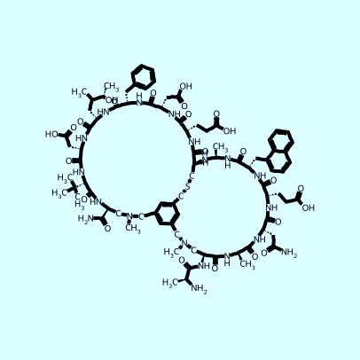 CC(C[C@@H]1NC(=O)[C@H](Cc2ccccc2)NC(=O)[C@H](CC(=O)O)NC(=O)[C@H](CCC(=O)O)NC(=O)[C@H]2CSCc3cc(cc(c3)CN(C)C[C@H](NC(=O)[C@H](C)N)C(=O)N[C@H](C)C(=O)N[C@@H](CC(N)=O)C(=O)N[C@@H](CCC(=O)O)C(=O)N[C@@H](Cc3cccc4ccccc34)C(=O)N[C@H](C)N2)CN(C)C[C@@H](C(N)=O)NC(=O)[C@H](C(C)(C)C)NC(=O)[C@H](CC(=O)O)NC1=O)[C@H](C)O